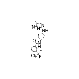 Cc1cnc(NC2CCC(NC(=O)c3ccc(Cl)c(C(F)(F)F)c3)CC2)nc1N(C)C